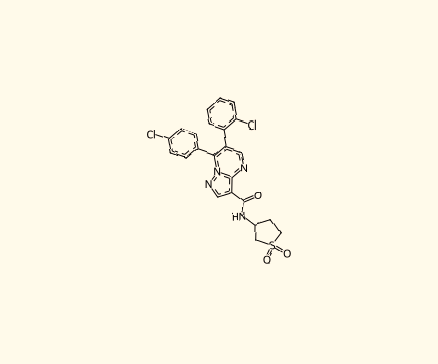 O=C(NC1CCS(=O)(=O)C1)c1cnn2c(-c3ccc(Cl)cc3)c(-c3ccccc3Cl)cnc12